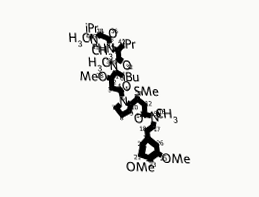 CCC(C)C(C(CC(=O)N1CCCC1C(CC(=O)N(C)CCc1ccc(OC)c(OC)c1)SC)OC)N(C)C(=O)C(NC(=O)C(C(C)C)N(C)C)C(C)C